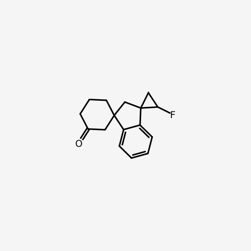 O=C1CCCC2(C1)CC1(CC1F)c1ccccc12